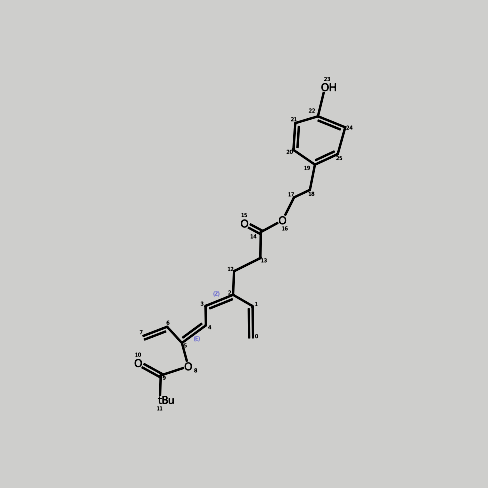 C=C/C(=C\C=C(/C=C)OC(=O)C(C)(C)C)CCC(=O)OCCc1ccc(O)cc1